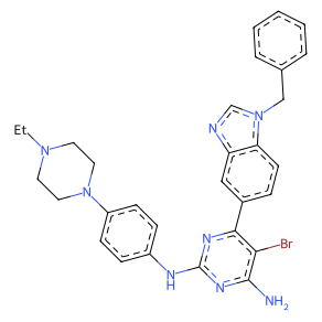 CCN1CCN(c2ccc(Nc3nc(N)c(Br)c(-c4ccc5c(c4)ncn5Cc4ccccc4)n3)cc2)CC1